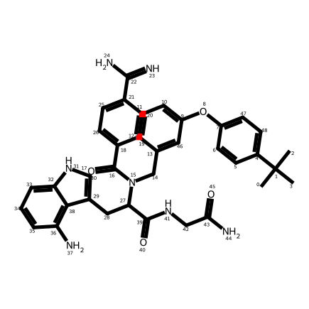 CC(C)(C)c1ccc(Oc2cccc(CN(C(=O)c3ccc(C(=N)N)cc3)C(Cc3c[nH]c4cccc(N)c34)C(=O)NCC(N)=O)c2)cc1